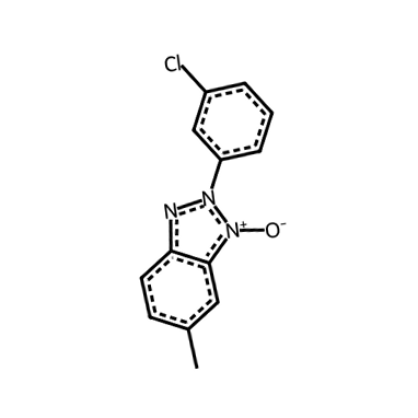 Cc1ccc2nn(-c3cccc(Cl)c3)[n+]([O-])c2c1